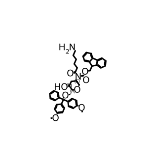 COc1ccc(C(OC[C@H]2OC[C@@H](N(C(=O)CCCCCN)C(=O)OCC3c4ccccc4-c4ccccc43)C[C@H]2O)(c2ccccc2)c2ccc(OC)cc2)cc1